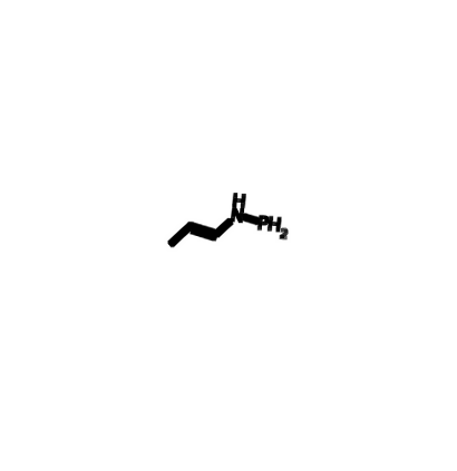 CC=CNP